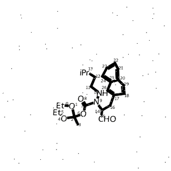 CCOC(C)(OCC)OC(=O)N(NCCC(C)C)C(C=O)Cc1ccc2ccccc2c1